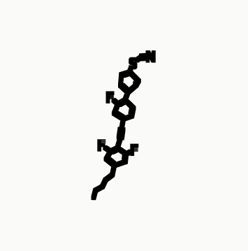 CCCCCc1cc(F)c(C#Cc2ccc(-c3ccc(SC#N)cc3)c(F)c2)c(F)c1